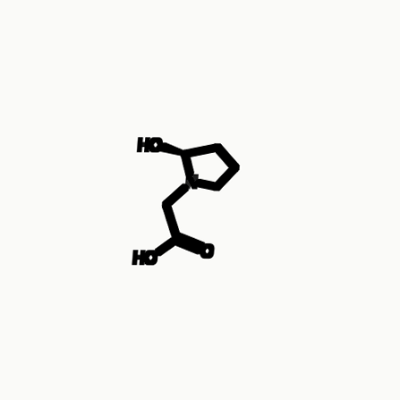 O=C(O)CN1CCC[C@@H]1O